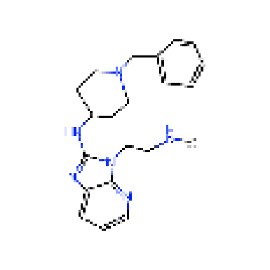 CCNCCn1c(NC2CCN(Cc3ccccc3)CC2)nc2cccnc21